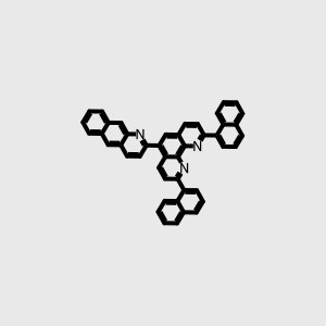 c1ccc2cc3nc(-c4cc5ccc(-c6cccc7ccccc67)nc5c5nc(-c6cccc7ccccc67)ccc45)ccc3cc2c1